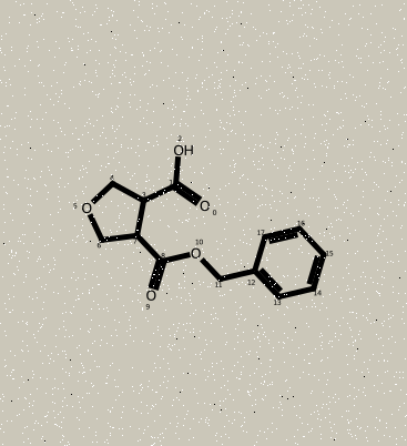 O=C(O)C1COCC1C(=O)OCc1ccccc1